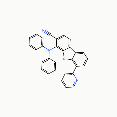 N#Cc1ccc2c(oc3c(-c4ccccn4)cccc32)c1N(c1ccccc1)c1ccccc1